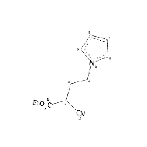 CCOC(=O)C(C#N)CCn1cccc1